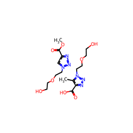 COC(=O)c1cn(CCOCCO)nn1.Cc1c(C(=O)O)nnn1CCOCCO